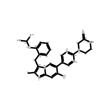 Cc1nc2cc(Cl)c(-c3cnc(N4CCNC(=O)C4)nc3)cn2c1Cc1ccccc1OC(F)F